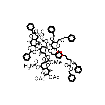 COC(=O)[C@@]1(OCC2O[C@@H](O[C@@H]3C(OCc4ccccc4)[C@H](OCCCCCN(Cc4ccccc4)C(=O)OCc4ccccc4)OC(COCc4ccccc4)[C@@H]3OCc3ccccc3)C(NC(=O)OCC(Cl)(Cl)Cl)[C@@H](O[C@@H]3OC4COC(c5ccccc5)OC4[C@H](C)C3OC(=O)c3ccccc3)[C@@H]2C)C[C@@H](OC(N)=O)[C@@H](C(C)=O)C([C@H](C)[C@@H](COC(C)=O)OC(C)=O)O1